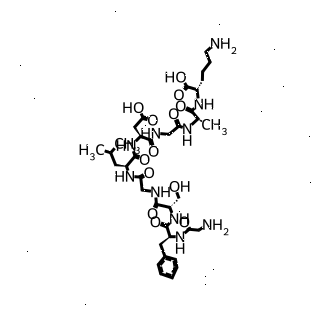 CC(C)C[C@H](NC(=O)CNC(=O)[C@H](CO)NC(=O)[C@H](Cc1ccccc1)NC(=O)CN)C(=O)N[C@@H](CC(=O)O)C(=O)NCC(=O)N[C@@H](C)C(=O)N[C@@H](CCCCN)C(=O)O